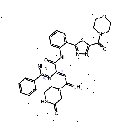 C=C(/C=C(\N=C(/N)c1ccccc1)C(=O)Nc1ccccc1-c1nnc(C(=O)N2CCOCC2)s1)N1CCNC(=O)C1